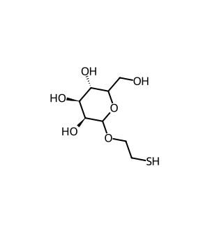 OCC1OC(OCCS)[C@@H](O)[C@@H](O)[C@@H]1O